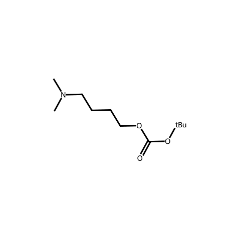 CN(C)CCCCOC(=O)OC(C)(C)C